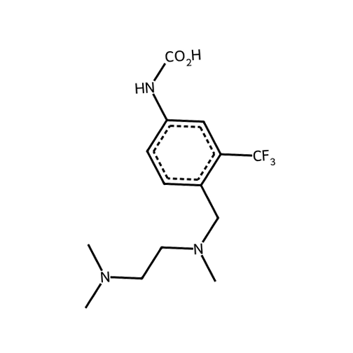 CN(C)CCN(C)Cc1ccc(NC(=O)O)cc1C(F)(F)F